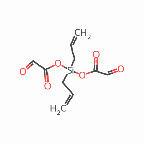 C=CC[Si](CC=C)(OC(=O)C=O)OC(=O)C=O